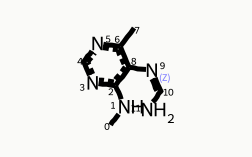 CNc1ncnc(C)c1/N=C\N